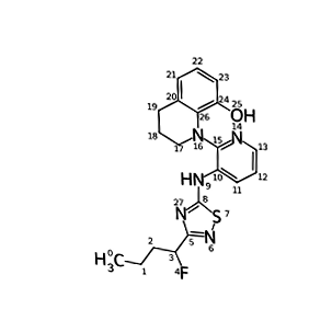 CCCC(F)c1nsc(Nc2cccnc2N2CCCc3cccc(O)c32)n1